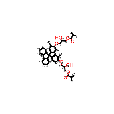 C=C(C)C(=O)OCC(O)COc1ccc(C2(c3ccc(OCC(O)COC(=O)C(=C)C)c(C)c3)c3ccccc3-c3ccccc32)cc1C